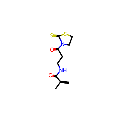 C=C(C)C(=O)NCCC(=O)N1CCSC1=S